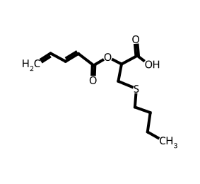 C=CC=CC(=O)OC(CSCCCC)C(=O)O